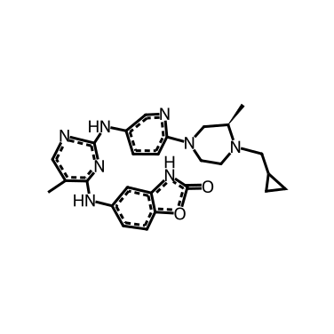 Cc1cnc(Nc2ccc(N3CCN(CC4CC4)[C@H](C)C3)nc2)nc1Nc1ccc2oc(=O)[nH]c2c1